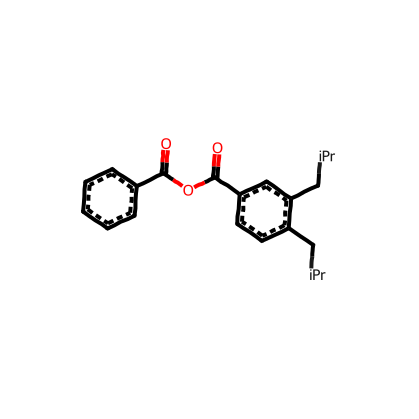 CC(C)Cc1ccc(C(=O)OC(=O)c2ccccc2)cc1CC(C)C